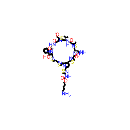 CNC(=O)C[C@@H]1NC(=O)c2csc(n2)-c2ccc(-c3nc(NC(=O)OCCCCCN)cs3)nc2-c2csc(n2)-c2csc(n2)[C@H]([C@@H](O)c2ccccc2)NC(=O)CNC(=O)c2nc(sc2COC)[C@H](C(C)C)NC(=O)c2nc1sc2C